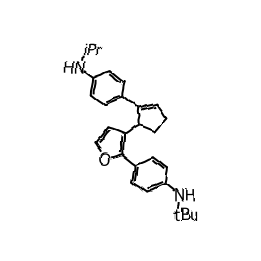 CC(C)Nc1ccc(C2=CCCC2c2ccoc2-c2ccc(NC(C)(C)C)cc2)cc1